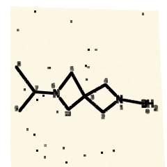 BN1CC2(C1)CN(C(C)C)C2